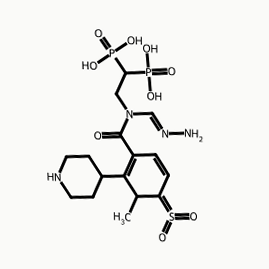 CC1C(C2CCNCC2)=C(C(=O)N(C=NN)CC(P(=O)(O)O)P(=O)(O)O)C=CC1=S(=O)=O